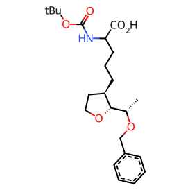 C[C@H](OCc1ccccc1)[C@@H]1OCC[C@H]1CCCC(NC(=O)OC(C)(C)C)C(=O)O